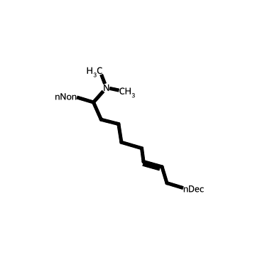 CCCCCCCCCCCC=CCCCCC(CCCCCCCCC)N(C)C